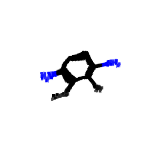 COc1c(N)ccc(N)c1C(C)C